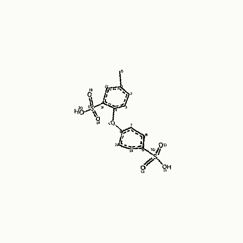 Cc1ccc(Oc2ccc(S(=O)(=O)O)cc2)c(S(=O)(=O)O)c1